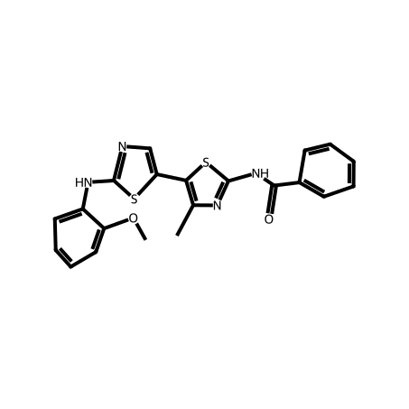 COc1ccccc1Nc1ncc(-c2sc(NC(=O)c3ccccc3)nc2C)s1